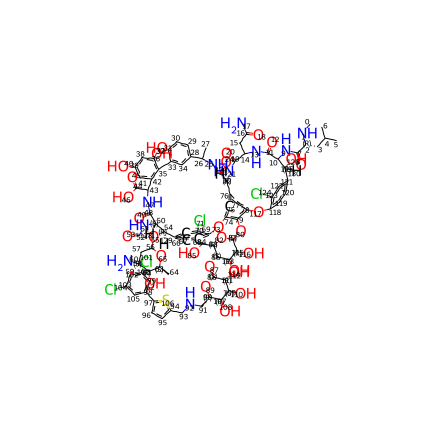 CN[C@H](CC(C)C)C(=O)NC1C(=O)NC(CC(N)=O)C(=O)N[C@H]2C(=O)NC(C)c3ccc(O)c(c3)-c3c(O)cc(O)cc3C(C(=O)O)NC(=O)[C@@H](NC=O)[C@H](OC3C[C@](C)(N)[C@@H](O)[C@H](C)O3)c3ccc(c(Cl)c3)Oc3cc2cc(c3O[C@@H]2O[C@H](CO)[C@@H](O[C@@H]3O[C@H](CNCc4ccc(-c5cc(Cl)cc(Cl)c5)s4)[C@H](O)[C@H](O)[C@H]3O)[C@H](O)[C@H]2O)Oc2ccc(cc2Cl)[C@H]1O